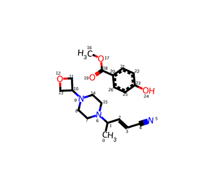 CC(C=CC#N)N1CCN(C2COC2)CC1.COC(=O)c1ccc(O)cc1